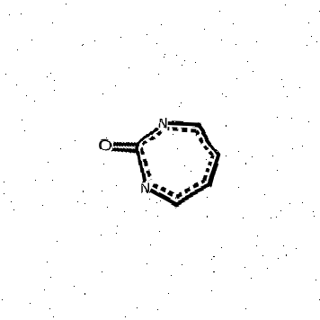 O=c1nccccn1